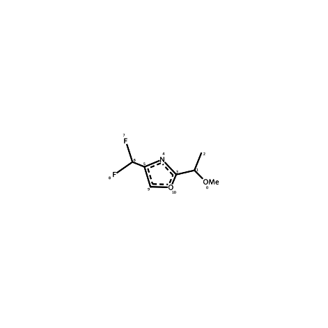 COC(C)c1nc(C(F)F)co1